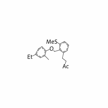 CCc1ccc(OCc2c(CCC(C)=O)cccc2SC)c(C)c1